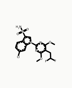 COc1nc(-n2cc(S(N)(=O)=O)c3ccc(Cl)cc32)nc(OC)c1CC(F)F